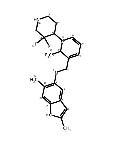 Cc1cc2cc(OCC3=CC=CN(C4CCNCC4(F)F)C3C(F)(F)F)c(C)cc2o1